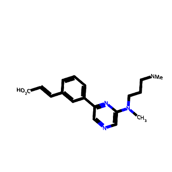 CNCCCN(C)c1cncc(-c2cccc(C=CC(=O)O)c2)n1